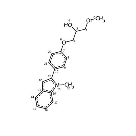 COCC(O)COc1ccc(-c2cc3ccccc3n2C)cc1